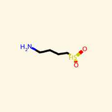 NCCCC[SH](=O)=O